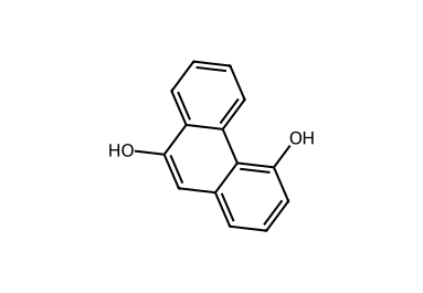 Oc1cc2cccc(O)c2c2ccccc12